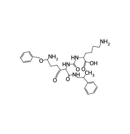 CC(CNC(=O)C(NC(=O)NC(CCCCN)C(=O)O)C(=C=O)CCC(N)OCc1ccccc1)c1ccccc1